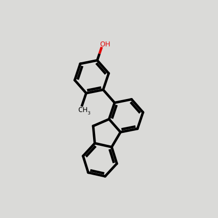 Cc1ccc(O)cc1-c1cccc2c1Cc1ccccc1-2